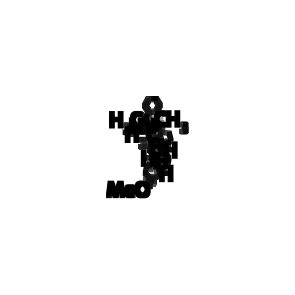 COC[C@H]1CC[C@H]2[C@H](CC[C@@H]3[C@@H]2CC[C@]2(C)C([C@@H](C)N[C@H](C)c4ccccc4)CC[C@@H]32)C1